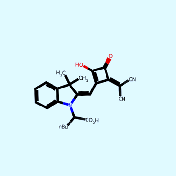 CCCCC(C(=O)O)N1C(=CC2=C(O)C(=O)C2=C(C#N)C#N)C(C)(C)c2ccccc21